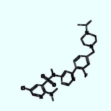 CC(C)N1CCN(Cc2ccc(-c3cc(N(C)S(=O)(=O)c4cc(Cl)cnc4N(C)C)ccn3)c(F)c2)CC1